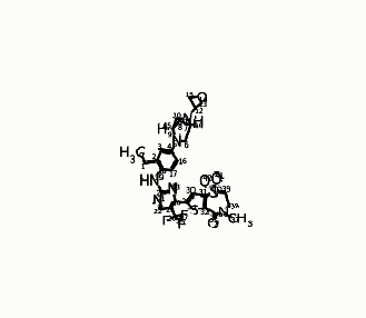 CCc1cc(N2C[C@H]3C[C@@H]2CN3C2COC2)ccc1Nc1ncc(C(F)(F)F)c(-c2cc3c(s2)C(=O)N(C)CCS3(=O)=O)n1